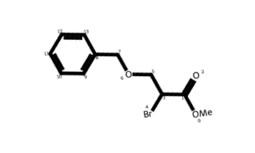 COC(=O)C(Br)COCc1ccccc1